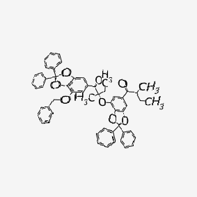 CCC(C)C(=O)c1cc(OC(C)(CC)C(=O)c2cc(OCc3ccccc3)c3c(c2)OC(c2ccccc2)(c2ccccc2)O3)c2c(c1)OC(c1ccccc1)(c1ccccc1)O2